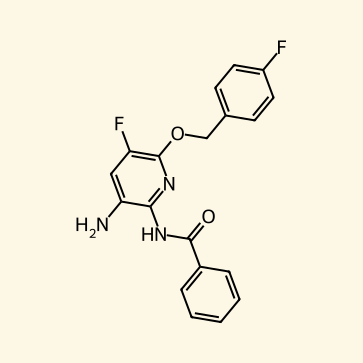 Nc1cc(F)c(OCc2ccc(F)cc2)nc1NC(=O)c1ccccc1